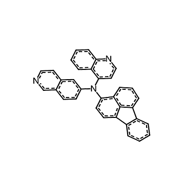 c1ccc2c(c1)-c1cccc3c(N(c4ccc5cnccc5c4)c4ccnc5ccccc45)ccc-2c13